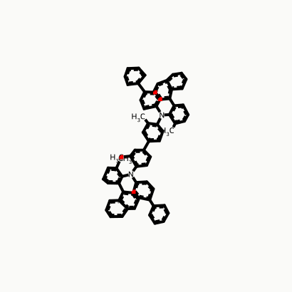 Cc1cc(-c2ccc(N(c3ccc(-c4ccccc4)cc3)c3c(C)cccc3-c3cccc4ccccc34)c(C)c2)ccc1N(c1ccc(-c2ccccc2)cc1)c1c(C)cccc1-c1cccc2ccccc12